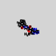 [2H]c1c([2H])c(C(=O)N2CCN(C(=O)C(=O)c3c[nH]c4c(-n5ccnn5)ncc(OC)c34)CC2)c([2H])c([2H])c1C